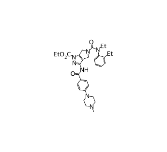 CCOC(=O)n1nc(NC(=O)c2ccc(N3CCN(C)CC3)cc2)c2c1CN(C(=O)N(CC)c1ccccc1CC)C2